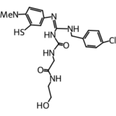 CNc1ccc(/N=C(/NCc2ccc(Cl)cc2)NC(=O)NCC(=O)NCCO)cc1S